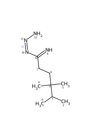 CC(C)C(C)(C)CCC(=N)/N=N\N